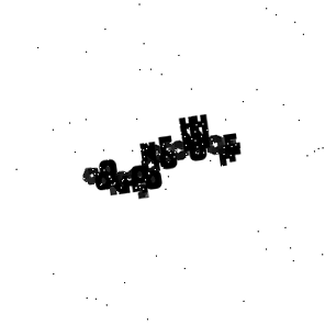 COc1cc2c(Oc3ccc(NC(=O)Nc4ccc(C(F)(F)F)cc4)cc3F)ccnc2cc1OCCC[C@H](N)C(=O)OC1CCCC1